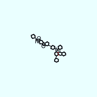 c1ccc(-c2ccc(N(c3ccc(-c4ccc5c(c4)oc4cc6nc(-c7ccccc7)oc6cc45)cc3)c3ccccc3-c3cccc4ccccc34)cc2)cc1